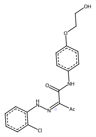 CC(=O)/C(=N/Nc1ccccc1Cl)C(=O)Nc1ccc(OCCO)cc1